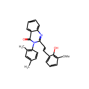 COc1cccc(C=Cc2nc3ccccc3c(=O)n2-c2ccc(C)cc2C)c1O